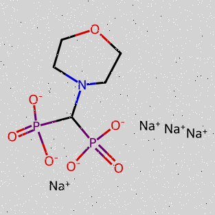 O=P([O-])([O-])C(N1CCOCC1)P(=O)([O-])[O-].[Na+].[Na+].[Na+].[Na+]